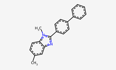 Cc1ccc2c(c1)nc(-c1ccc(-c3ccccc3)cc1)n2C